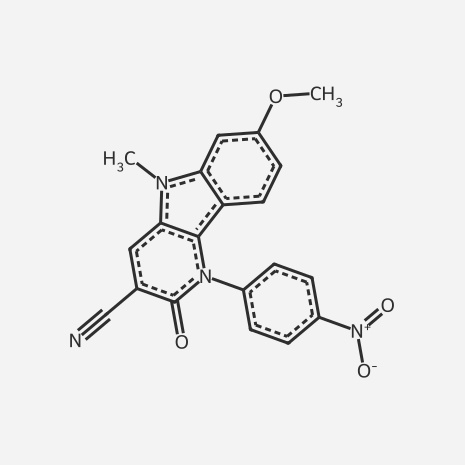 COc1ccc2c3c(cc(C#N)c(=O)n3-c3ccc([N+](=O)[O-])cc3)n(C)c2c1